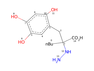 CCCCC(Cc1cc(O)c(O)cc1O)(NN)C(=O)O